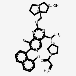 C=CC(=O)N1CC[C@@H](N(C)c2nc(OC[C@@]34CCCN3C[C@H](O)C4)nc3c(F)c(-c4cccc5cccc(Cl)c45)ncc23)C1